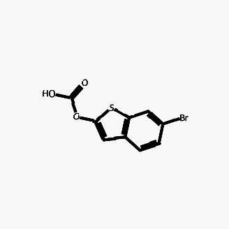 O=C(O)Oc1cc2ccc(Br)cc2s1